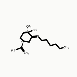 C=C(C)[C@H]1CC[C@@](C)(O)C(=NCCCCCC)C1